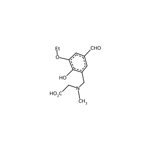 CCOc1cc(C=O)cc(CN(C)CC(=O)O)c1O